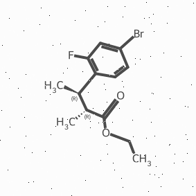 CCOC(=O)[C@H](C)[C@@H](C)c1ccc(Br)cc1F